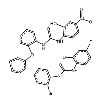 O=C(Nc1ccc(F)cc1O)Nc1ccccc1Br.O=C(Nc1ccc([N+](=O)[O-])cc1O)Nc1ccccc1Oc1ccccc1